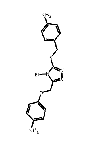 CCn1c(COc2ccc(C)cc2)nnc1SCc1ccc(C)cc1